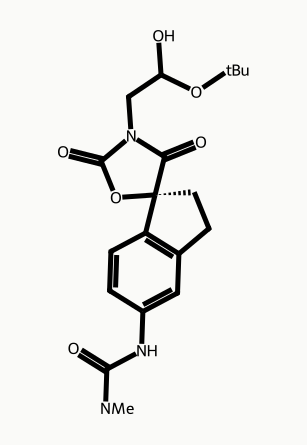 CNC(=O)Nc1ccc2c(c1)CC[C@@]21OC(=O)N(CC(O)OC(C)(C)C)C1=O